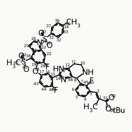 C/C(=C\c1cccc(C2NCCc3[nH]c(-c4cc(Oc5c(F)cc6c(ccn6S(=O)(=O)c6ccc(C)cc6)c5S(C)(=O)=O)ccc4F)nc32)c1F)C(=O)OC(C)(C)C